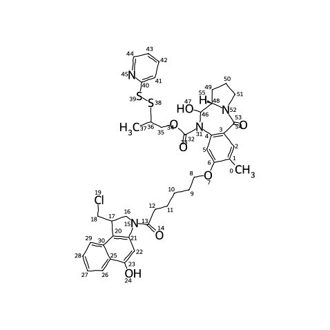 Cc1cc2c(cc1OCCCCCC(=O)N1CC(CCl)c3c1cc(O)c1ccccc31)N(C(=O)OCC(C)SSc1ccccn1)C(O)[C@@H]1CCCN1C2=O